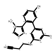 C#CCCNc1cc(-c2cc(C#N)ccc2-c2nncn2C)cc(Cl)n1